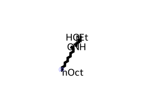 CCCCCCCC/C=C\CCCCCCCC(=O)NCCN(O)CC